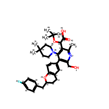 Cc1nc(CO)c(-c2ccc3c(c2)CCC(Cc2ccc(F)cc2)O3)c(N2CCC(C)(C)CC2)c1C(OC(C)(C)C)C(=O)O